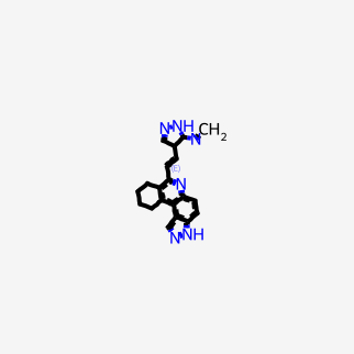 C=NC1NN=CC1/C=C/c1nc2ccc3[nH]ncc3c2c2c1CCCC2